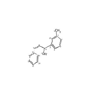 Cc1cccc(C(O)/C=C\c2ccccc2)c1